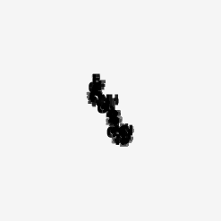 CN(C(=O)Nc1cc(OC(F)F)ccn1)C1CC2(C1)CN(C(=O)c1cnn3ccn(C)c13)C2